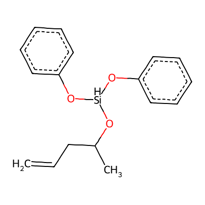 C=CCC(C)O[SiH](Oc1ccccc1)Oc1ccccc1